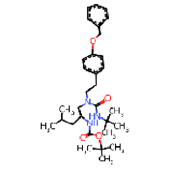 CC(C)CC(CN(CCc1ccc(OCc2ccccc2)cc1)C(=O)NC(C)(C)C)NC(=O)OC(C)(C)C